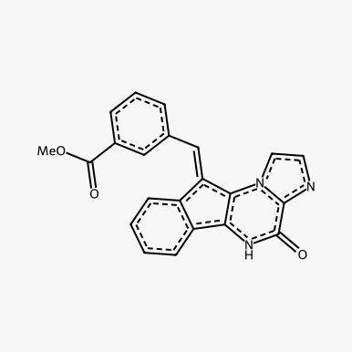 COC(=O)c1cccc(C=c2c3ccccc3c3[nH]c(=O)c4nccn4c23)c1